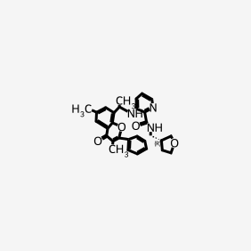 Cc1cc(C(C)Nc2cccnc2C(=O)NC[C@H]2CCOC2)c2oc(-c3ccccc3)c(C)c(=O)c2c1